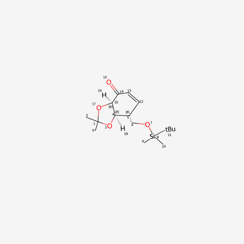 CC1(C)O[C@@H]2[C@@H](CO[Si](C)(C)C(C)(C)C)C=CC(=O)[C@@H]2O1